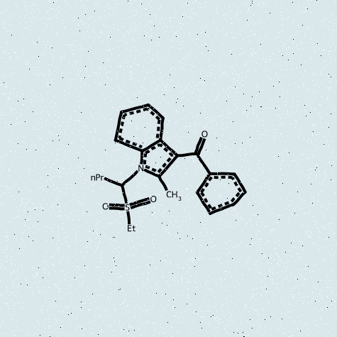 CCCC(n1c(C)c(C(=O)c2ccccc2)c2ccccc21)S(=O)(=O)CC